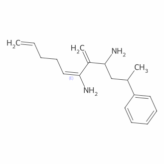 C=CCC/C=C(/N)C(=C)C(N)CC(C)c1ccccc1